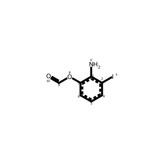 Nc1c(I)cccc1OC=O